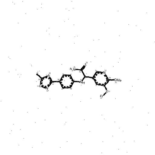 CCOc1cc(C(Nc2ccc(-c3noc(C)n3)cc2)C(N)=S)cnc1OC